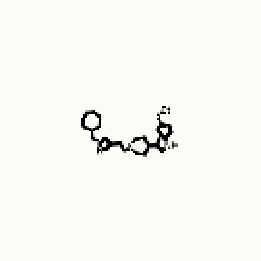 CCSc1ccc2[nH]cc(C3CCN(CCc4cnn(CC5CCCCCC5)c4)CC3)c2c1